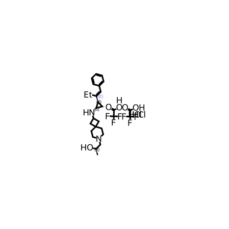 CC/C(=C\c1ccccc1)[C@H]1C[C@@H]1NC1CC2(CCN(C[C@@H](C)O)CC2)C1.Cl.Cl.O=C(O)C(F)(F)F.O=C(O)C(F)(F)F